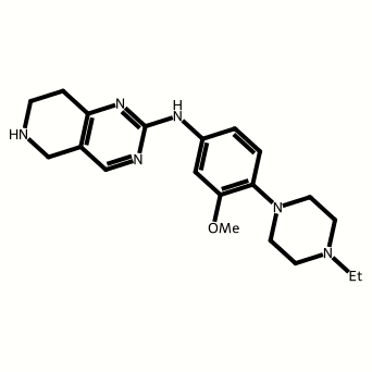 CCN1CCN(c2ccc(Nc3ncc4c(n3)CCNC4)cc2OC)CC1